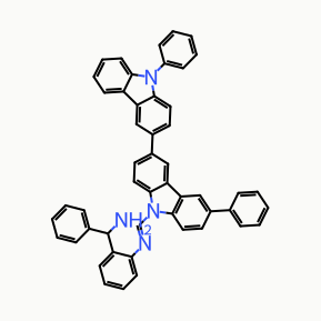 NC(c1ccccc1)c1ccccc1/N=C/n1c2ccc(-c3ccccc3)cc2c2cc(-c3ccc4c(c3)c3ccccc3n4-c3ccccc3)ccc21